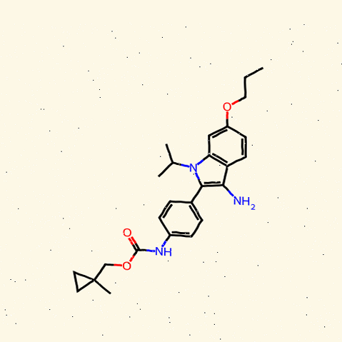 CCCOc1ccc2c(N)c(-c3ccc(NC(=O)OCC4(C)CC4)cc3)n(C(C)C)c2c1